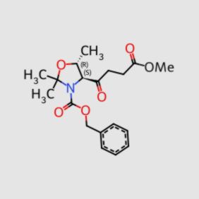 COC(=O)CCC(=O)[C@@H]1[C@@H](C)OC(C)(C)N1C(=O)OCc1ccccc1